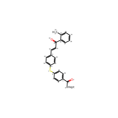 CCCCCCCC(=O)c1ccc(Sc2ccc(C=CC(=O)c3ccccc3C)cc2)cc1